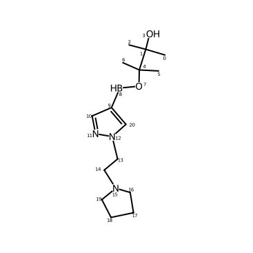 CC(C)(O)C(C)(C)OBc1cnn(CCN2CCCC2)c1